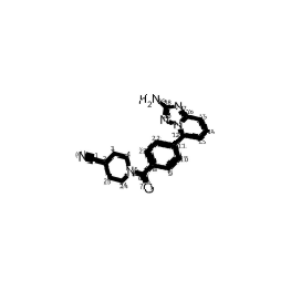 N#CC1CCN(C(=O)c2ccc(-c3cccc4nc(N)nn34)cc2)CC1